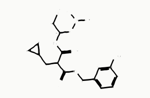 COc1cccc(CNC(=O)C(CC2CC2)C(=O)NC(CC(C)C)OB(O)O)c1